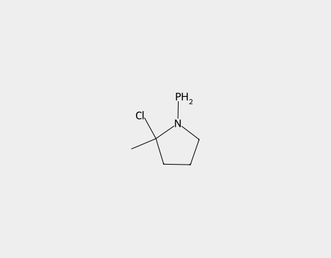 CC1(Cl)CCCN1P